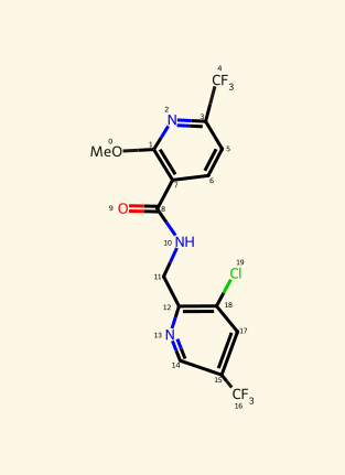 COc1nc(C(F)(F)F)ccc1C(=O)NCc1ncc(C(F)(F)F)cc1Cl